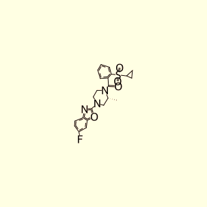 C[C@@H]1CN(c2nc3ccc(F)cc3o2)CCN1C(=O)c1ccccc1S(=O)(=O)C1CC1